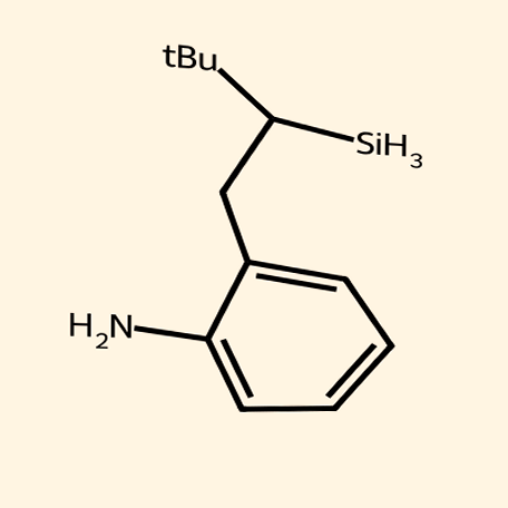 CC(C)(C)C([SiH3])Cc1ccccc1N